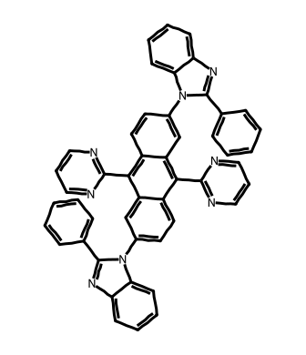 c1ccc(-c2nc3ccccc3n2-c2ccc3c(-c4ncccn4)c4cc(-n5c(-c6ccccc6)nc6ccccc65)ccc4c(-c4ncccn4)c3c2)cc1